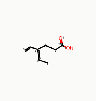 C=CC(=CC)CCC(=O)O